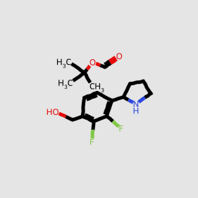 CC(C)(C)OC=O.OCc1ccc(C2CCCN2)c(F)c1F